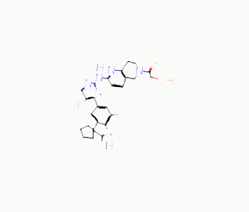 CC1=Nc2c(F)cc(-c3nc(Nc4ccc5c(n4)CCN(C(=O)CO)C5)ncc3F)cc2C12CCCC2